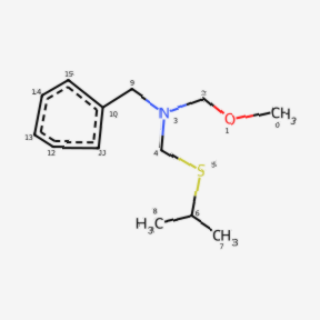 COCN(CSC(C)C)Cc1ccccc1